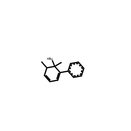 CCCCC1(C)C(c2ccccc2)=CC=CC1C